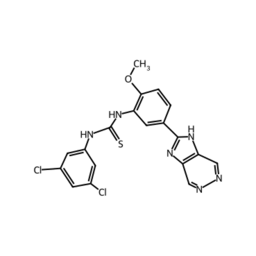 COc1ccc(-c2nc3cnncc3[nH]2)cc1NC(=S)Nc1cc(Cl)cc(Cl)c1